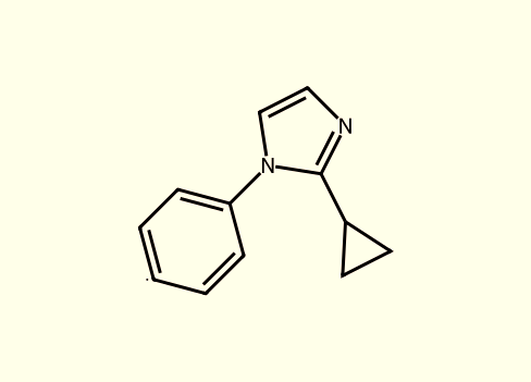 [c]1ccc(-n2ccnc2C2CC2)cc1